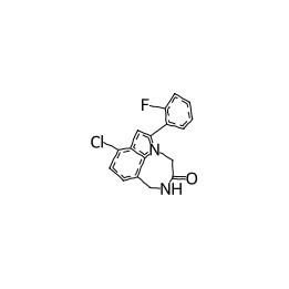 O=C1Cn2c(-c3ccccc3F)cc3c(Cl)ccc(c32)CN1